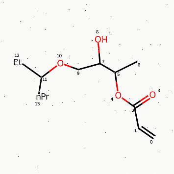 C=CC(=O)OC(C)C(O)COC(CC)CCC